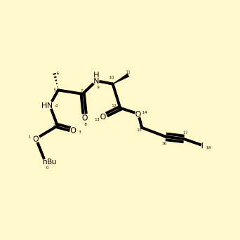 CCCCOC(=O)N[C@H](C)C(=O)N[C@@H](C)C(=O)OCC#CI